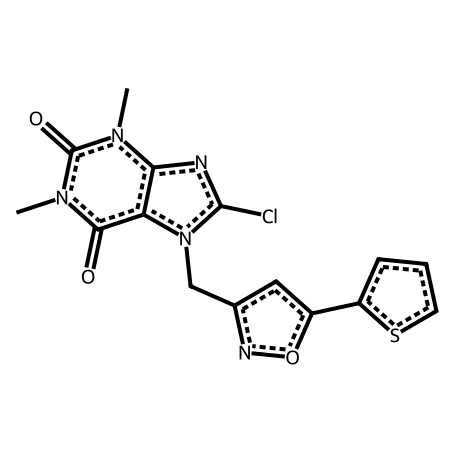 Cn1c(=O)c2c(nc(Cl)n2Cc2cc(-c3cccs3)on2)n(C)c1=O